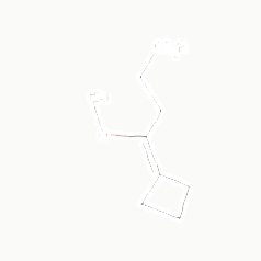 CC(C)(C)OC(CCC(=O)O)=C1CCC1